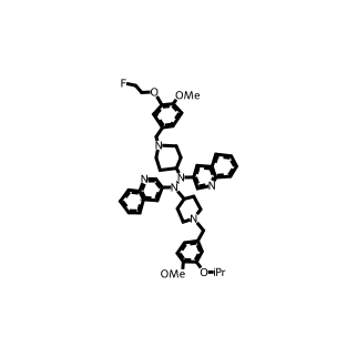 COc1ccc(CN2CCC(N(c3cnc4ccccc4c3)N(c3cnc4ccccc4c3)C3CCN(Cc4ccc(OC)c(OC(C)C)c4)CC3)CC2)cc1OCCF